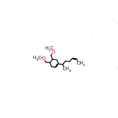 C/C=C\CCC(C)C1=CCC(COC)C(COC)C1